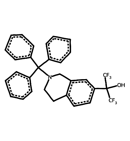 OC(c1ccc2c(c1)CN(C(c1ccccc1)(c1ccccc1)c1ccccc1)CC2)(C(F)(F)F)C(F)(F)F